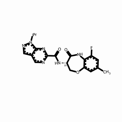 Cc1cc(F)c2c(c1)OC[C@H](NC(=O)c1ncc3cnn(C(C)C)c3n1)C(=O)N2